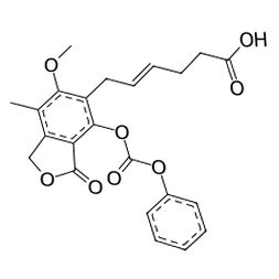 COc1c(C)c2c(c(OC(=O)Oc3ccccc3)c1C/C=C/CCC(=O)O)C(=O)OC2